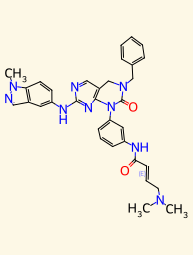 CN(C)C/C=C/C(=O)Nc1cccc(N2C(=O)N(Cc3ccccc3)Cc3cnc(Nc4ccc5c(cnn5C)c4)nc32)c1